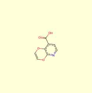 O=C(O)c1ccnc2c1OC=CO2